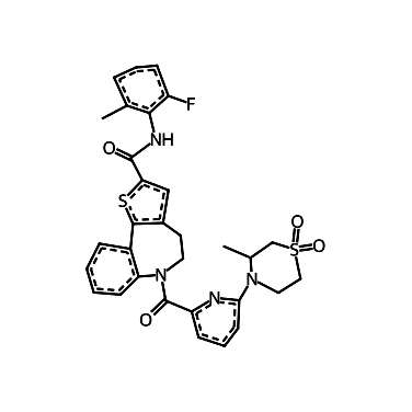 Cc1cccc(F)c1NC(=O)c1cc2c(s1)-c1ccccc1N(C(=O)c1cccc(N3CCS(=O)(=O)CC3C)n1)CC2